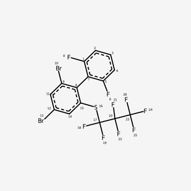 Fc1cccc(F)c1-c1c(Br)[c]c(Br)cc1SC(F)(F)C(F)(F)C(F)(F)F